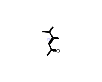 CC(=O)/C=C(\C)C(C)C